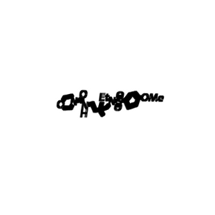 CCN(CC(C)(C)CCNC(=O)N1CCOCC1)S(=O)(=O)c1ccc(OC)cc1